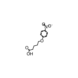 O=C(O)CCCCOc1ccc([N+](=O)[O-])cc1